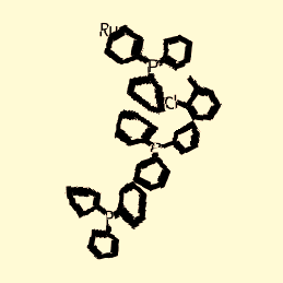 Cc1ccccc1Cl.[Ru].c1ccc(P(c2ccccc2)c2ccccc2)cc1.c1ccc(P(c2ccccc2)c2ccccc2)cc1.c1ccc(P(c2ccccc2)c2ccccc2)cc1